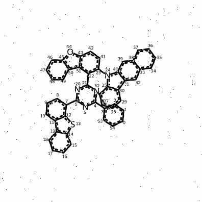 c1ccc(-c2nc(-c3cccc4c3sc3ccccc34)nc(-c3c(-n4c5ccccc5c5cc6ccccc6cc54)ccc4oc5ccccc5c34)n2)cc1